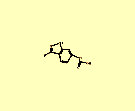 O=C(O)Nc1ccc2c(I)n[nH]c2c1